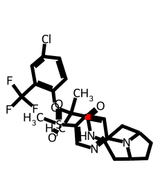 CC(C)(Oc1ccc(Cl)cc1C(F)(F)F)C(=O)NC1CC2CCC(C1)N2c1ccc(S(C)(=O)=O)cn1